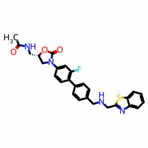 CC(=O)NC[C@H]1CN(c2ccc(-c3ccc(CNCc4nc5ccccc5s4)cc3)c(F)c2)C(=O)O1